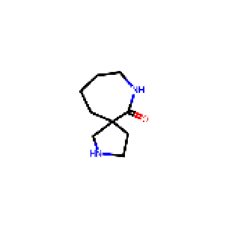 O=C1NCCCCC12CCNC2